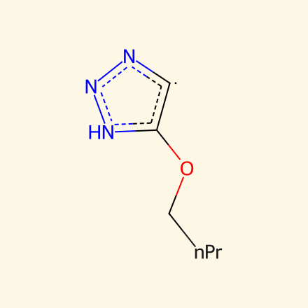 CCCCOc1[c]nn[nH]1